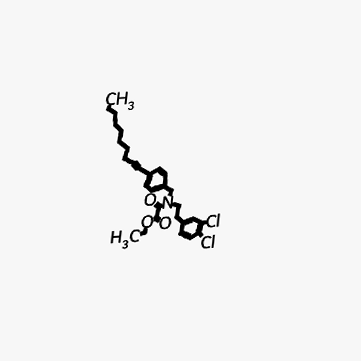 CCCCCCCCC#Cc1ccc(CN(CCc2ccc(Cl)c(Cl)c2)C(=O)C(=O)OCC)cc1